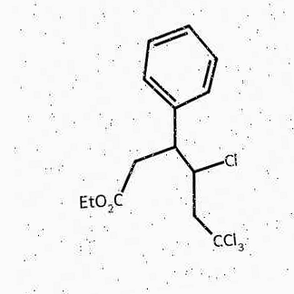 CCOC(=O)CC(c1ccccc1)C(Cl)CC(Cl)(Cl)Cl